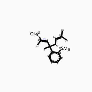 CSc1ccccc1C(C)(/C=C(\C)C=O)CC=C(C)C